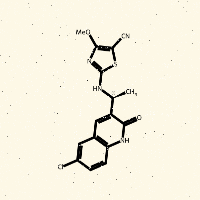 COc1nc(N[C@@H](C)c2cc3cc(Cl)ccc3[nH]c2=O)sc1C#N